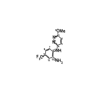 COc1ccc(Nc2ccc(C(F)(F)F)cc2N)nn1